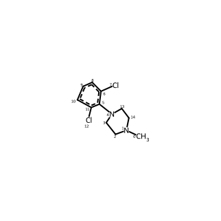 CN1CCN(c2c(Cl)cccc2Cl)CC1